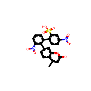 Cc1cc(=O)oc2cc(-c3c(-c4ccc([N+](=O)[O-])cc4S(=O)(=O)O)[c]ccc3[N+](=O)[O-])ccc12